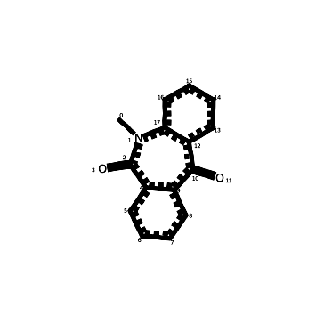 Cn1c(=O)c2ccccc2c(=O)c2ccccc21